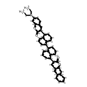 CCN(CC)c1ccc2cc(-c3cccc4c(-c5cccc6c(-c7cc8cc9ccccc9cc8oc7=O)cccc56)cccc34)c(=O)oc2c1